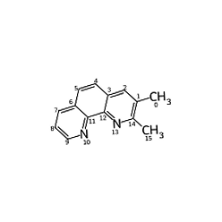 Cc1cc2ccc3cccnc3c2nc1C